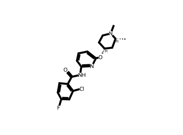 C[C@@H]1C[C@H](Oc2cccc(NC(=O)c3ccc(F)cc3Cl)n2)CCN1C